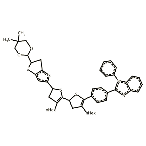 CCCCCCC1=C(c2ccc(-c3nc4ccccc4n3-c3ccccc3)cc2)SC(C2=C(CCCCCC)CC(c3cc4c(s3)CC(C3OCC(C)(C)CO3)S4)S2)C1